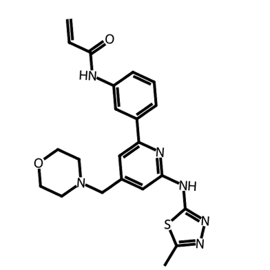 C=CC(=O)Nc1cccc(-c2cc(CN3CCOCC3)cc(Nc3nnc(C)s3)n2)c1